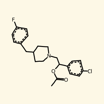 CC(=O)OC(CN1CCC(Cc2ccc(F)cc2)CC1)c1ccc(Cl)cc1